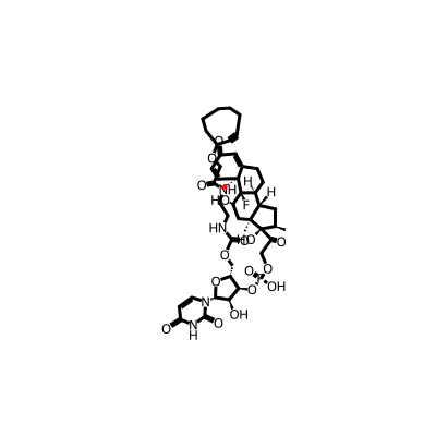 C[C@@H]1C[C@H]2[C@@H]3CCC4=CC(=O)C=C[C@]4(C)[C@@]3(F)[C@@H](O)C[C@]2(C)[C@@]1(O)C(=O)COP(=O)(O)O[C@H]1[C@@H](O)[C@H](n2ccc(=O)[nH]c2=O)O[C@@H]1COC(=O)NCCNC(=O)COC1C#CCCCCC1